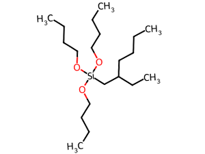 CCCCO[Si](CC(CC)CCCC)(OCCCC)OCCCC